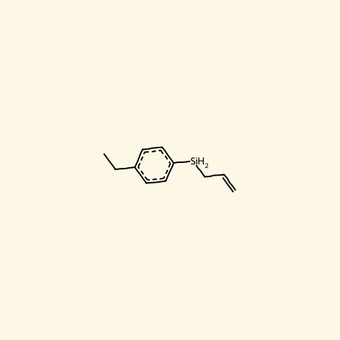 C=CC[SiH2]c1ccc(CC)cc1